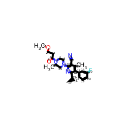 COCCC(=O)N1CCN(c2nc(C3CC3)c(-c3cccc(F)c3)c(C)c2C#N)C[C@H]1C